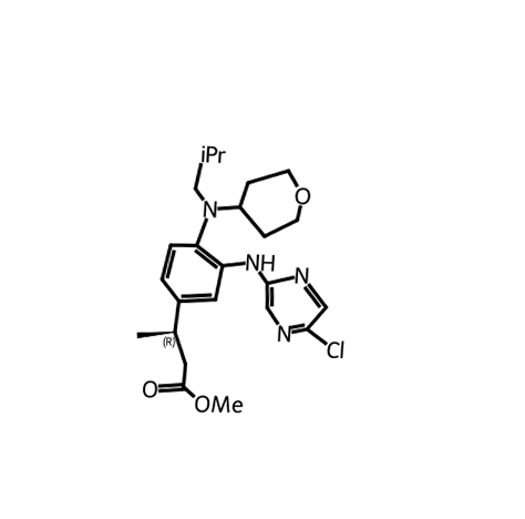 COC(=O)C[C@@H](C)c1ccc(N(CC(C)C)C2CCOCC2)c(Nc2cnc(Cl)cn2)c1